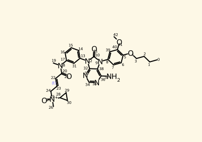 CCCCOc1ccc(-n2c(=O)n(-c3cccc(N(C)C(=O)/C=C/C[N+](C)([O-])C4CC4)c3)c3ncnc(N)c32)cc1OC